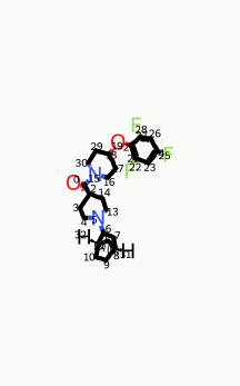 O=C(C1CCN(C2C[C@@H]3CC[C@H]2C3)CC1)N1CCC(Oc2c(F)cc(F)cc2F)CC1